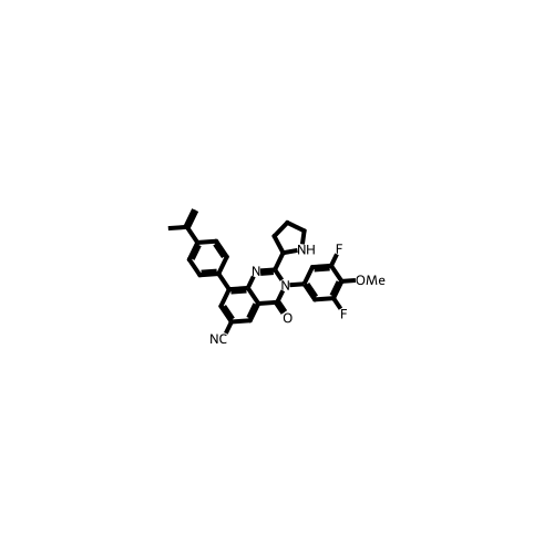 C=C(C)c1ccc(-c2cc(C#N)cc3c(=O)n(-c4cc(F)c(OC)c(F)c4)c(C4CCCN4)nc23)cc1